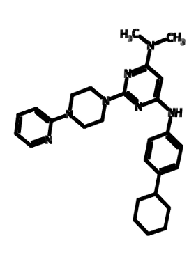 CN(C)c1cc(Nc2ccc(C3CCCCC3)cc2)nc(N2CCN(c3ccccn3)CC2)n1